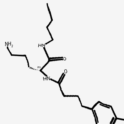 CCCCNC(=O)[C@@H](CCCN)NC(=O)CCCc1ccc(C)cc1